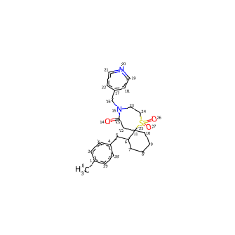 Cc1ccc(CC2CCCCC23CC(=O)N(Cc2ccncc2)CCS3(=O)=O)cc1